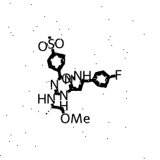 COC[C@H](C)N/C(=N/C(=O)c1ccc(S(C)(=O)=O)cc1)Nc1cc(-c2ccc(F)cc2)[nH]n1